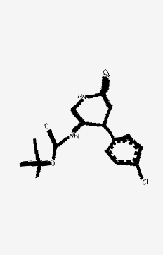 CC(C)(C)OC(=O)NC1CNC(=O)CC1c1ccc(Cl)cc1